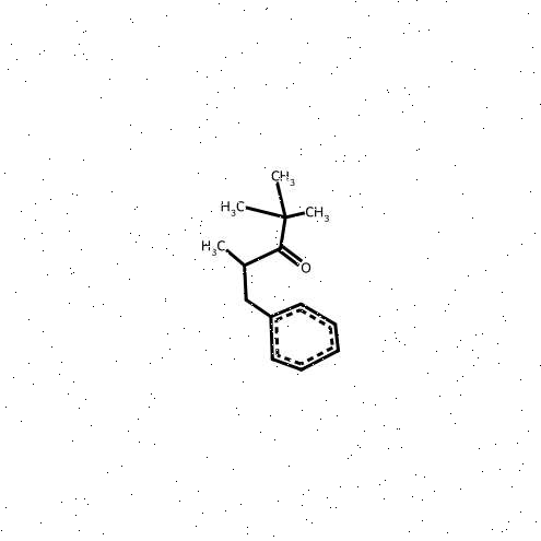 CC(Cc1ccccc1)C(=O)C(C)(C)C